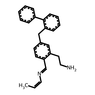 C/C=C\N=C\c1ccc(Cc2ccccc2-c2ccccc2)cc1CCN